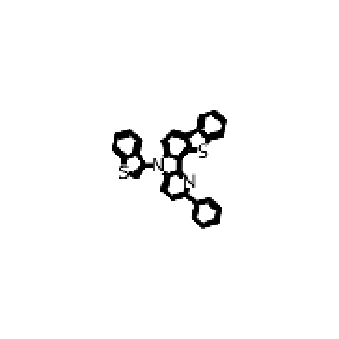 c1ccc(-c2ccc3c(n2)c2c4sc5ccccc5c4ccc2n3-c2csc3ccccc23)cc1